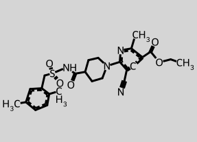 CCOC(=O)c1cc(C#N)c(N2CCC(C(=O)NS(=O)(=O)Cc3cc(C)ccc3C)CC2)nc1C